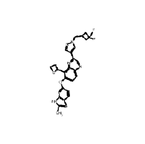 Cc1nc2ccc(Oc3ccc4ncc(-c5cnn(CC6CC(F)(F)C6)c5)nc4c3C3CCO3)cc2[nH]1